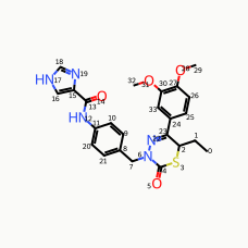 CCC1SC(=O)N(Cc2ccc(NC(=O)c3c[nH]cn3)cc2)N=C1c1ccc(OC)c(OC)c1